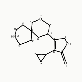 O=C1OCC(N2COCC3(CCNCC3)C2)=C1C1CC1